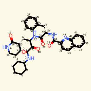 O=C(NC1CCCCC1)C(=O)C(C[C@@H]1CCCNC1=O)NC(=O)[C@H](Cc1ccccc1)NC(=O)c1ccc2ccccc2n1